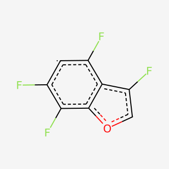 Fc1[c]c(F)c2c(F)coc2c1F